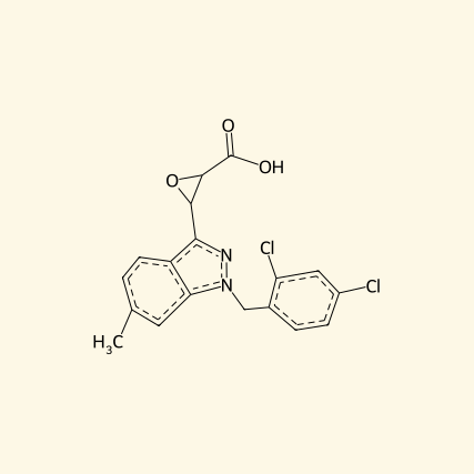 Cc1ccc2c(C3OC3C(=O)O)nn(Cc3ccc(Cl)cc3Cl)c2c1